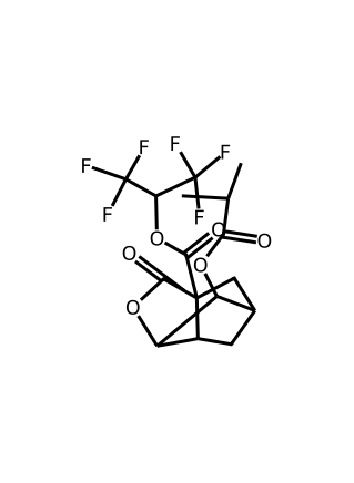 CC(C)C(=O)OC1C2CC3C1OC(=O)C3(C(=O)OC(C(F)(F)F)C(F)(F)F)C2